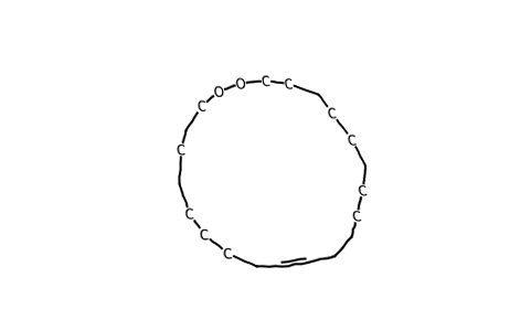 C1=C\CCCCCCCCOOCCCCCCCCCC/1